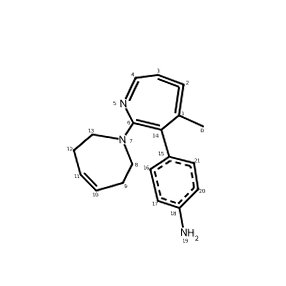 CC1=C=CC=NC(N2CCC=CCC2)=C1c1ccc(N)cc1